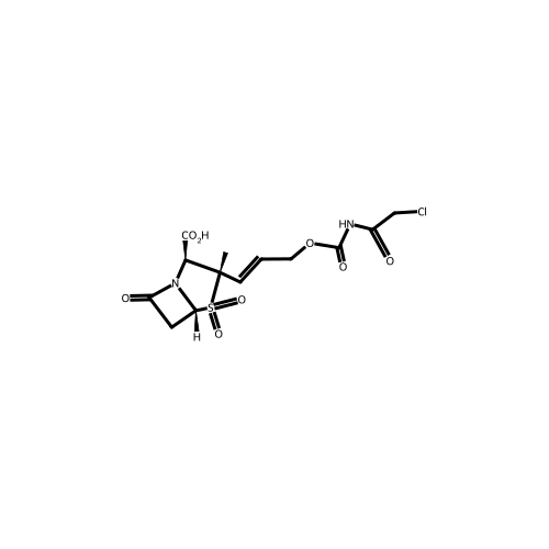 C[C@]1(/C=C/COC(=O)NC(=O)CCl)[C@H](C(=O)O)N2C(=O)C[C@H]2S1(=O)=O